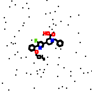 CCOc1ccccc1-c1ncc(C2CCN(Cc3ccccc3)C(C(=O)O)C2)cc1F